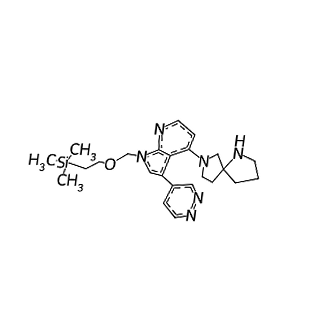 C[Si](C)(C)CCOCn1cc(-c2ccnnc2)c2c(N3CCC4(CCCN4)C3)ccnc21